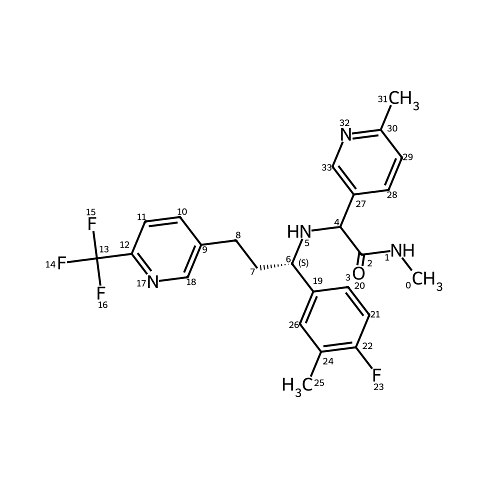 CNC(=O)C(N[C@@H](CCc1ccc(C(F)(F)F)nc1)c1ccc(F)c(C)c1)c1ccc(C)nc1